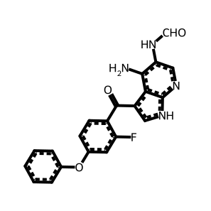 Nc1c(NC=O)cnc2[nH]cc(C(=O)c3ccc(Oc4ccccc4)cc3F)c12